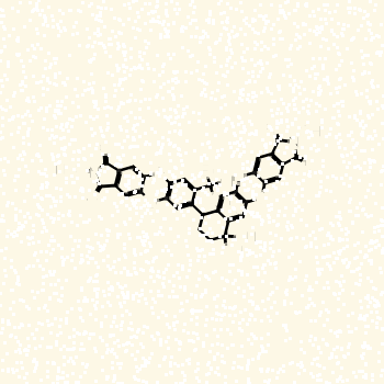 CCC(C)(C)c1cc2oc3cc4c(=O)n(C)c(=O)c4cc3oc2cc1C1CCC(C)(C)c2cc3oc4cc5c(=O)n(C)c(=O)c5cc4oc3cc21